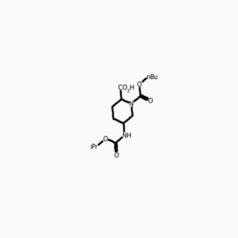 CCCCOC(=O)N1CC(NC(=O)OC(C)C)CCC1C(=O)O